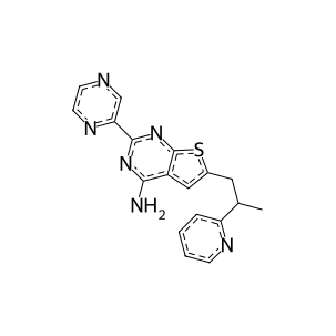 CC(Cc1cc2c(N)nc(-c3cnccn3)nc2s1)c1ccccn1